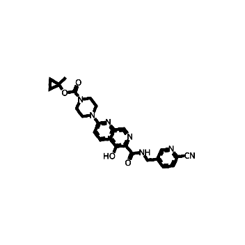 CC1(OC(=O)N2CCN(c3ccc4c(O)c(C(=O)NCc5ccc(C#N)nc5)ncc4n3)CC2)CC1